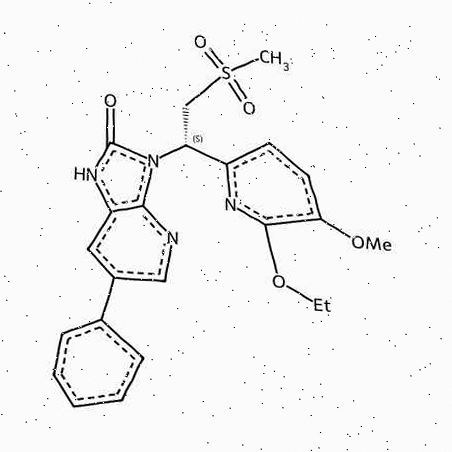 CCOc1nc([C@@H](CS(C)(=O)=O)n2c(=O)[nH]c3cc(-c4ccccc4)cnc32)ccc1OC